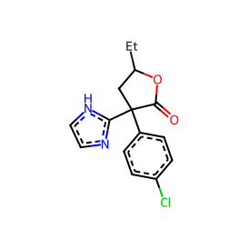 CCC1CC(c2ccc(Cl)cc2)(c2ncc[nH]2)C(=O)O1